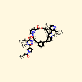 C=CC(=O)N1CC[C@H](C(=O)N(C)[C@@H](CC(F)(F)F)C(=O)N[C@H]2Cc3cccc(c3)-c3ccc4c(c3)c(c(-c3cccnc3[C@H](C)OC)n4CC)CC(C)(C)COC(=O)[C@@H]3CCCN(N3)C2=O)C1